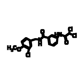 COc1ccc(CNC(=O)c2cccc(NC(=O)C(Cl)Cl)c2)cc1Cl